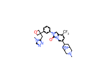 CN1CC2CC(c3cc(C(F)(F)F)c4cn(-c5cccc(C6(Cc7nncn7C)COC6)c5)c(=O)n4c3)CC(C1)N2